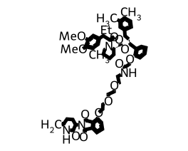 C=C1CCC(N2C(=O)c3cccc(OCCOCCOCCNC(=O)COc4ccccc4[C@@H](CCc4ccc(C)c(C)c4)OC(=O)[C@@H]4CCCCN4C(=O)[C@@H](CC)c4cc(C)c(OC)c(OC)c4)c3C2=O)C(=O)N1